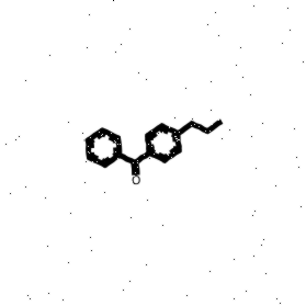 CCCc1ccc(C(=O)c2cc[c]cc2)cc1